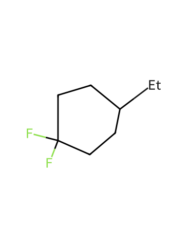 CCC1CCC(F)(F)CC1